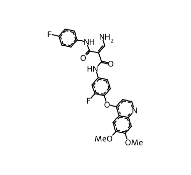 COc1cc2nccc(Oc3ccc(NC(=O)/C(=C/N)C(=O)Nc4ccc(F)cc4)cc3F)c2cc1OC